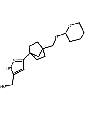 OCc1cc(C23CCC(COC4CCCCO4)(CC2)C3)n[nH]1